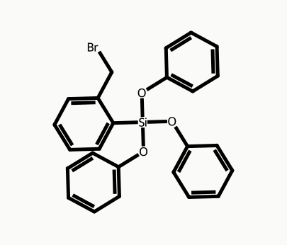 BrCc1ccccc1[Si](Oc1ccccc1)(Oc1ccccc1)Oc1ccccc1